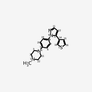 CN1CCN(c2ccc(-n3nccc3-c3ccsc3)cc2)CC1